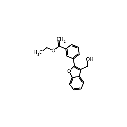 C=C(OCC)c1cccc(-c2oc3ccccc3c2CO)c1